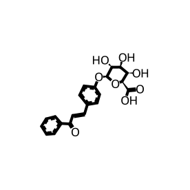 O=C(/C=C/c1ccc(O[C@@H]2O[C@H](C(=O)O)[C@@H](O)[C@H](O)[C@H]2O)cc1)c1ccccc1